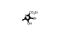 CCOC(=O)c1sc(C)c(O)c1C(C)C